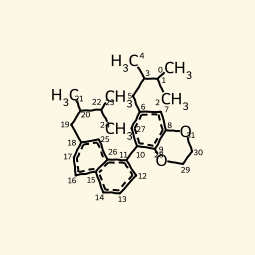 CC(C)C(C)Cc1cc2c(c(-c3cccc4ccc(CC(C)C(C)C)cc34)c1)OCCO2